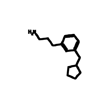 NCCCc1cccc(CC2CCCC2)c1